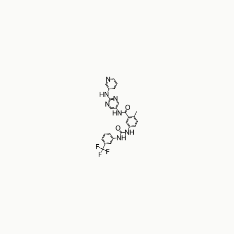 Cc1ccc(NC(=O)Nc2cccc(C(F)(F)F)c2)cc1C(=O)Nc1cnc(Nc2cccnc2)nc1